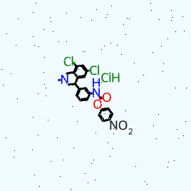 CN1Cc2c(Cl)cc(Cl)cc2C(c2cccc(NC(=O)Oc3ccc([N+](=O)[O-])cc3)c2)C1.Cl